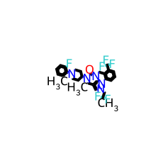 Cc1cccc(F)c1N1CCC(N2C(=O)N(Cc3ccccc3C(F)(F)F)c3nn(CC(C)(F)F)cc3C2C)CC1